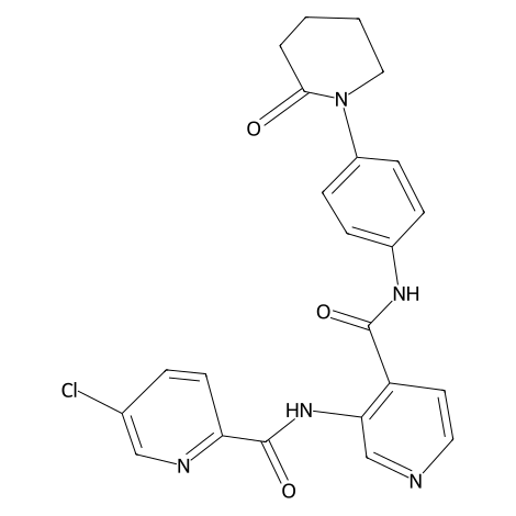 O=C(Nc1cnccc1C(=O)Nc1ccc(N2CCCCC2=O)cc1)c1ccc(Cl)cn1